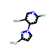 COc1cnc(Cl)cc1-n1ccc(C(=O)O)n1